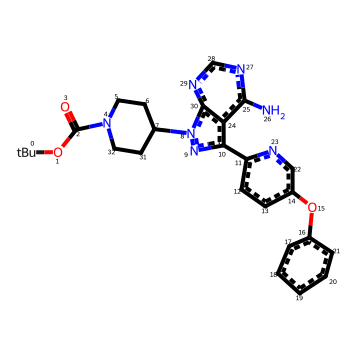 CC(C)(C)OC(=O)N1CCC(n2nc(-c3ccc(Oc4ccccc4)cn3)c3c(N)ncnc32)CC1